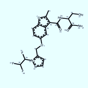 Cc1oc2ccc(OCc3ccnn3C(F)C(F)F)cc2c1C(=O)NC(CO)C(N)=O